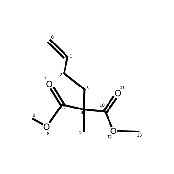 C=CCCC(C)(C(=O)OC)C(=O)OC